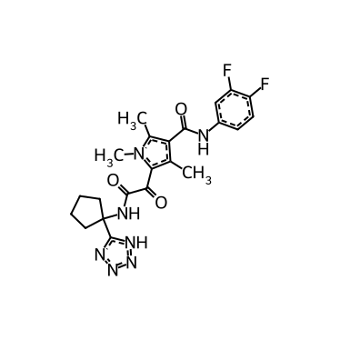 Cc1c(C(=O)Nc2ccc(F)c(F)c2)c(C)n(C)c1C(=O)C(=O)NC1(c2nnn[nH]2)CCCC1